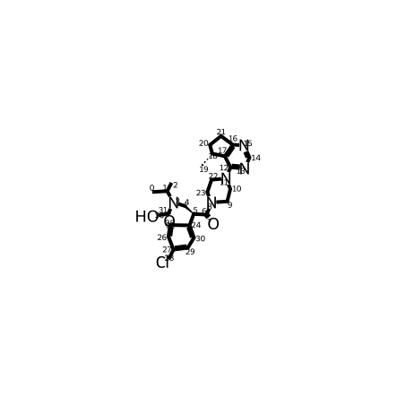 CC(C)N(C[C@@H](C(=O)N1CCN(c2ncnc3c2[C@H](C)CC3)CC1)c1ccc(Cl)cc1)C(=O)O